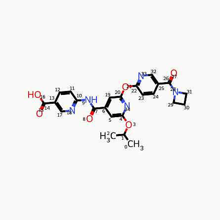 CC(C)Oc1cc(C(=O)Nc2ccc(C(=O)O)cn2)cc(Oc2ccc(C(=O)N3CCC3)cn2)n1